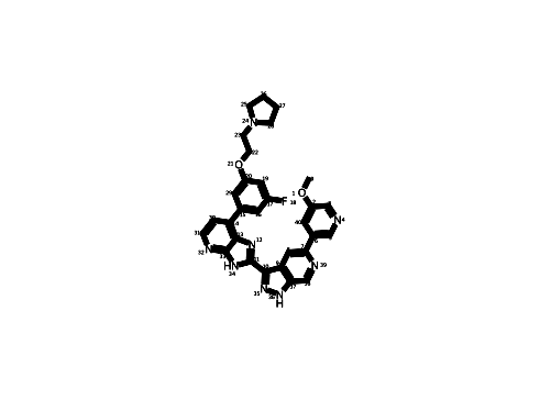 COc1cncc(-c2cc3c(-c4nc5c(-c6cc(F)cc(OCCN7CCCC7)c6)ccnc5[nH]4)n[nH]c3cn2)c1